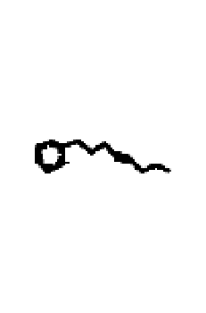 CCCC#CCCCc1[c]cccc1